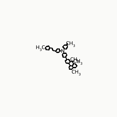 Cc1ccc(/C=C/c2ccc(N(c3ccc(C)cc3)c3ccc(-c4ccc5c(c4)C(C)(C)c4cccc6c(C)ccc-5c46)cc3)cc2)cc1